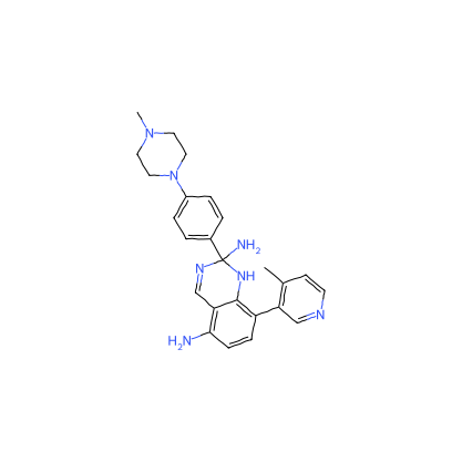 Cc1ccncc1-c1ccc(N)c2c1NC(N)(c1ccc(N3CCN(C)CC3)cc1)N=C2